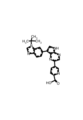 CC(C)(C)n1cnc2ccc(-c3c[nH]c4ncc(-c5ccc(C(=O)O)nc5)nc34)cc21